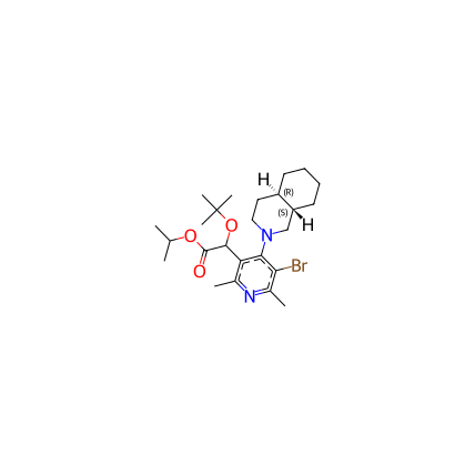 Cc1nc(C)c(C(OC(C)(C)C)C(=O)OC(C)C)c(N2CC[C@H]3CCCC[C@@H]3C2)c1Br